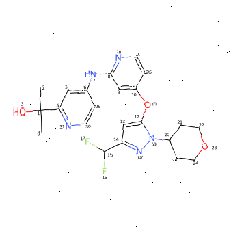 CC(C)(O)c1cc(Nc2cc(Oc3cc(C(F)F)nn3C3CCOCC3)ccn2)ccn1